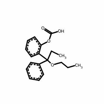 CCCOC(CC)(c1ccccc1)c1ccccc1OC(=O)O